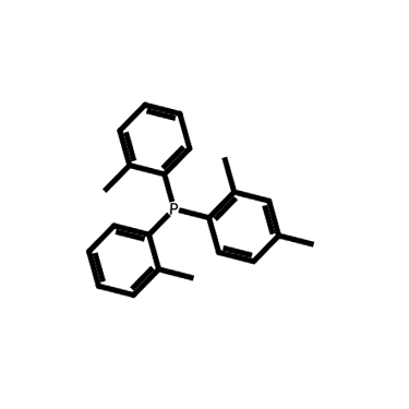 Cc1ccc(P(c2ccccc2C)c2ccccc2C)c(C)c1